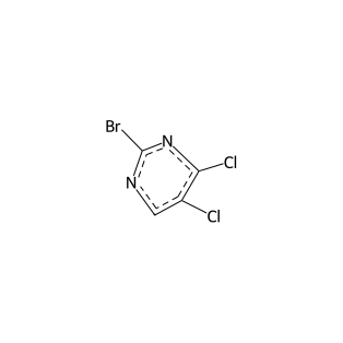 Clc1cnc(Br)nc1Cl